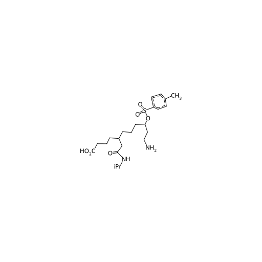 Cc1ccc(S(=O)(=O)OC(CCN)CCCC(CCCC(=O)O)CC(=O)NC(C)C)cc1